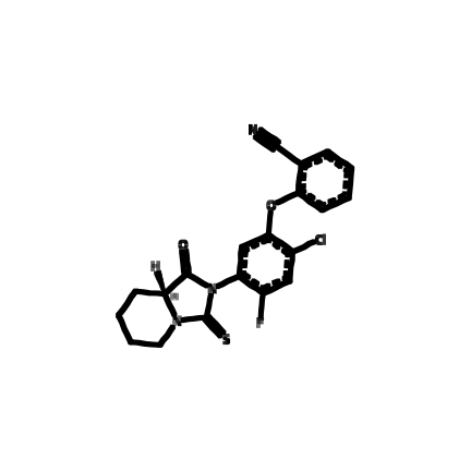 N#Cc1ccccc1Oc1cc(N2C(=O)[C@H]3CCCCN3C2=S)c(F)cc1Cl